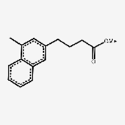 COC(=O)CCCc1cc(C)c2ccccc2c1